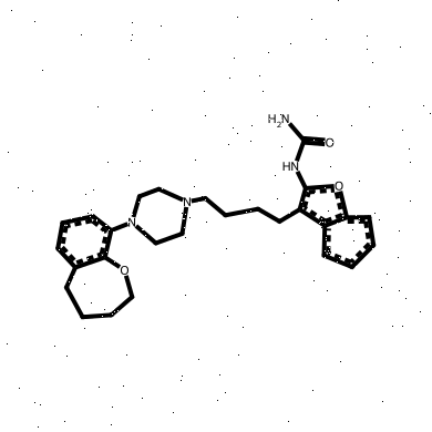 NC(=O)Nc1oc2ccccc2c1CCCCN1CCN(c2cccc3c2OCCCC3)CC1